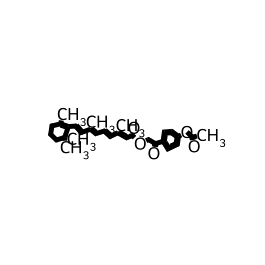 CC(=O)Oc1ccc(C(=O)COC(=O)/C=C(C)/C=C/C=C(C)/C=C/C2=C(C)CCCC2(C)C)cc1